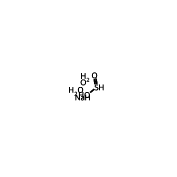 O.O.O=[SH]O.[NaH]